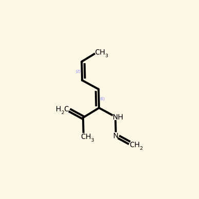 C=NN/C(=C/C=C\C)C(=C)C